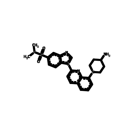 CN(C)S(=O)(=O)c1ccc2c(c1)ncn2-c1ccc2cccc(N3CCC(N)CC3)c2n1